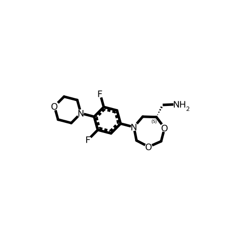 NC[C@H]1CN(c2cc(F)c(N3CCOCC3)c(F)c2)COCO1